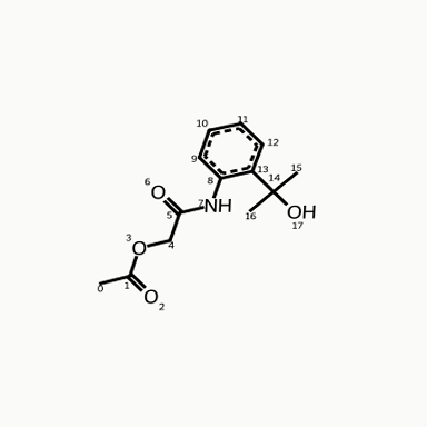 CC(=O)OCC(=O)Nc1ccccc1C(C)(C)O